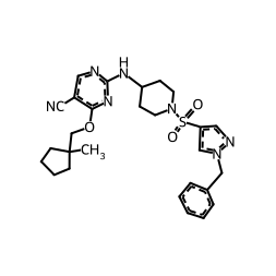 CC1(COc2nc(NC3CCN(S(=O)(=O)c4cnn(Cc5ccccc5)c4)CC3)ncc2C#N)CCCC1